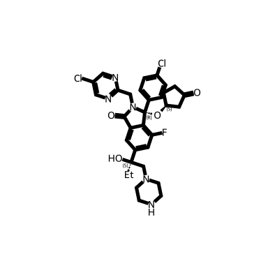 CC[C@@](O)(CN1CCNCC1)c1cc(F)c2c(c1)C(=O)N(Cc1ncc(Cl)cn1)[C@@]2(O[C@H]1CCC(=O)C1)c1ccc(Cl)cc1